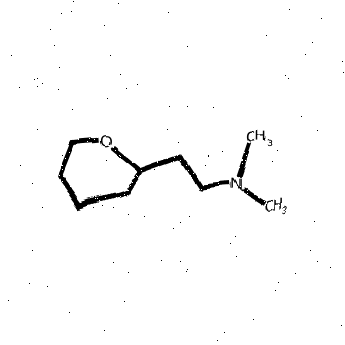 CN(C)CCC1CCCCO1